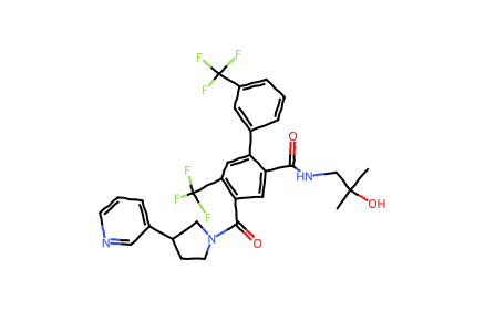 CC(C)(O)CNC(=O)c1cc(C(=O)N2CCC(c3cccnc3)C2)c(C(F)(F)F)cc1-c1cccc(C(F)(F)F)c1